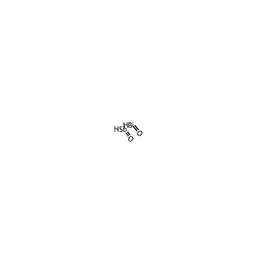 [O]=[BiH].[O]=[SbH]